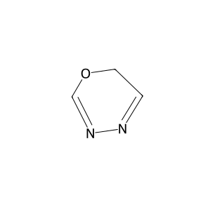 C1=NN=COC1